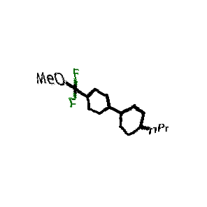 CCCC1CCC(C2CCC(C(F)(F)OC)CC2)CC1